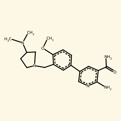 COc1ccc(-c2cnc(N)c(C(N)=O)c2)cc1CN1CCC(N(C)C)C1